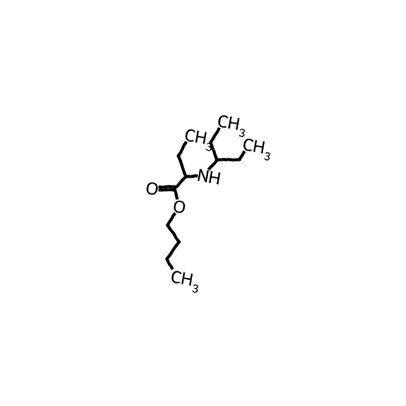 CCCCOC(=O)C(CC)NC(CC)CC